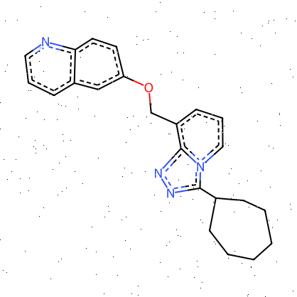 c1cnc2ccc(OCc3cccn4c(C5CCCCCC5)nnc34)cc2c1